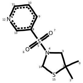 CC1(C)CN(S(=O)(=O)c2cccnc2)CS1